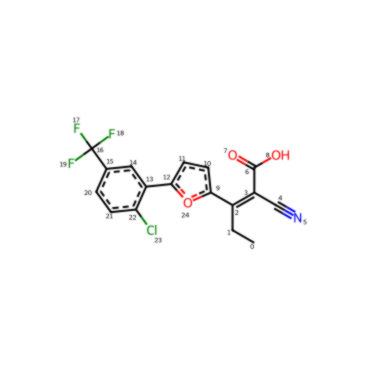 CCC(=C(C#N)C(=O)O)c1ccc(-c2cc(C(F)(F)F)ccc2Cl)o1